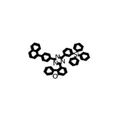 c1ccc([Si](c2ccccc2)(c2ccccc2)c2cccc(-c3nc(-c4ccc(-c5cccc6ccccc56)cc4)nc(-c4cccc5oc6ccccc6c45)n3)c2)cc1